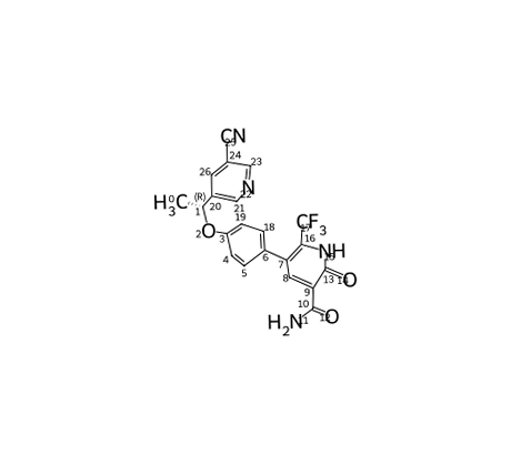 C[C@@H](Oc1ccc(-c2cc(C(N)=O)c(=O)[nH]c2C(F)(F)F)cc1)c1cncc(C#N)c1